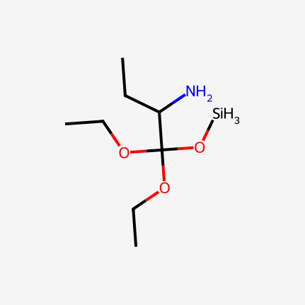 CCOC(O[SiH3])(OCC)C(N)CC